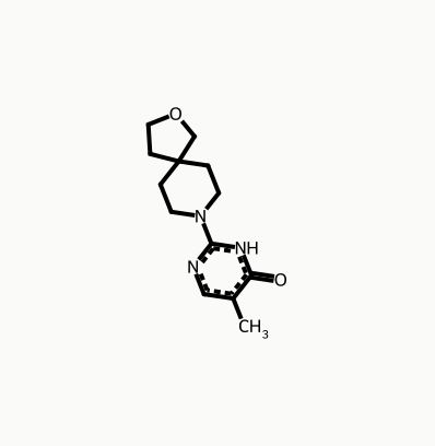 Cc1cnc(N2CCC3(CCOC3)CC2)[nH]c1=O